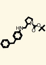 CC(C)(C)OC(=O)N1CCCC1CNc1ccc(Cc2ccccc2)cc1